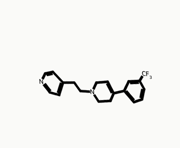 FC(F)(F)c1cccc(C2=CCN(CCc3ccncc3)CC2)c1